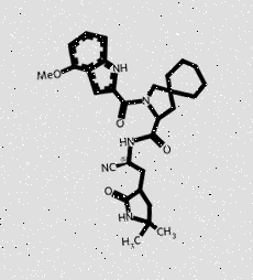 COc1cccc2[nH]c(C(=O)N3CC4(CCCCC4)CC3C(=O)N[C@H](C#N)CC3CC(C)(C)NC3=O)cc12